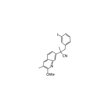 COc1nc2cc(C(C)(C#N)Cc3cccc(I)c3)ccc2cc1C